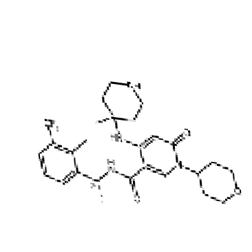 Cc1c([C@@H](C)NC(=O)c2cn(C3CCOCC3)c(=O)cc2NC2(C)CCNCC2)cccc1C(F)(F)F